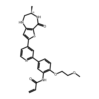 C=CC(=O)Nc1cc(-c2cc(-c3cc4c(s3)C(=O)N[C@H](C)CN4)ccn2)ccc1OCCOC